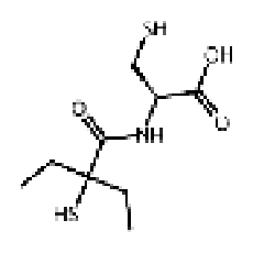 CCC(S)(CC)C(=O)N[C@@H](CS)C(=O)O